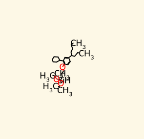 CCCCC(CCC)c1ccc(OCCC[SiH](OC(C)C)OC(C)C)c(C2CCCCC2)c1